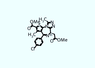 COC(=O)C[C@H]1N=C(c2ccc(Cl)cc2)c2c(sc(C(=O)OC)c2C)-n2c(C)nnc21